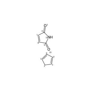 C1=CCC=C1.O=C1C=CC(=O)N1